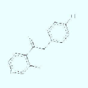 O=C(Cc1ccc(C(F)(F)F)cc1)c1ccncc1Cl